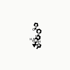 Cc1ccnn1C1(C(=O)Nc2ccc(N3CCC[C@@H](C(=O)N4CCCC4)C3)nc2N)CC1